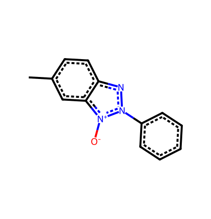 Cc1ccc2nn(-c3ccccc3)[n+]([O-])c2c1